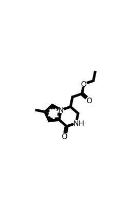 CCOC(=O)CC1CNC(=O)c2cc(C)cn21